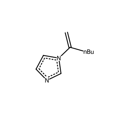 C=C(CCCC)n1ccnc1